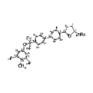 CCCCC1CCC(c2ccc(-c3ccc(C(F)(F)Oc4cc(F)c(C)c(F)c4)cc3)cc2)O1